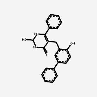 O=C1NC(S)NC(c2ccccc2)=C1Cc1cc(-c2ccccc2)ccc1O